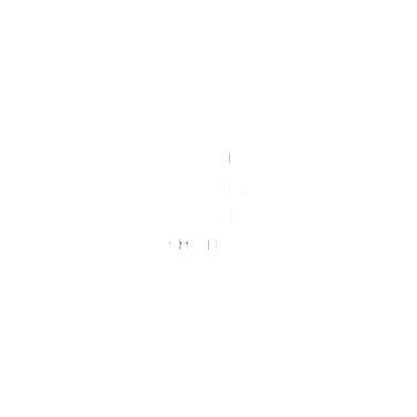 Cl.Cl.Cl.[Ce].[La].[Pr]